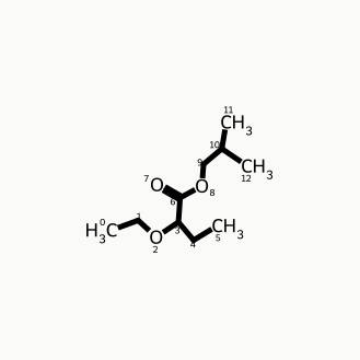 CCOC(CC)C(=O)OCC(C)C